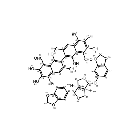 Cc1cc2c(C(C)C)c(O)c(O)c(C=O)c2c(O)c1-c1c(C)cc2c(C(C)C)c(O)c(O)c(C=O)c2c1O.c1cc2c(cc1O[C@H]1OC[C@H]3[C@@H]1CO[C@@H]3c1ccc3c(c1)OCO3)OCO2